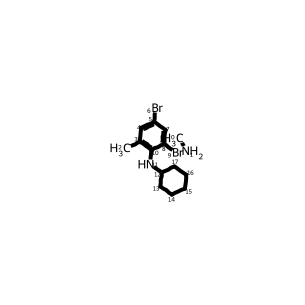 CN.Cc1cc(Br)cc(Br)c1NC1CCCCC1